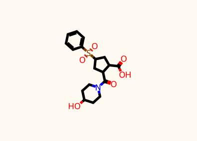 O=C(O)C1CC(S(=O)(=O)c2ccccc2)CC1C(=O)N1CCC(O)CC1